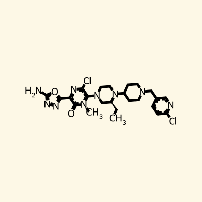 CC[C@H]1CN(c2c(Cl)nc(-c3nnc(N)o3)c(=O)n2C)CCN1C1CCN(Cc2ccc(Cl)nc2)CC1